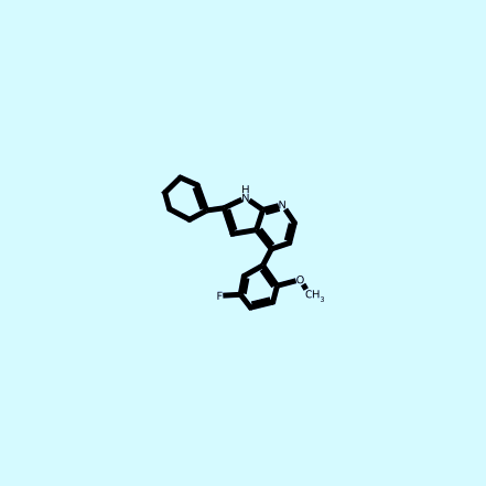 COc1ccc(F)cc1-c1ccnc2[nH]c(C3=CC[CH]CC3)cc12